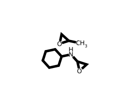 C1CCC(NC2CO2)CC1.CC1CO1